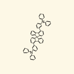 c1ccc(N(c2ccccc2)c2cccc(-c3cccc4c3-c3ccccc3C43c4ccccc4-c4c(-c5cccc(N(c6ccccc6)c6ccccc6)c5)cccc43)c2)cc1